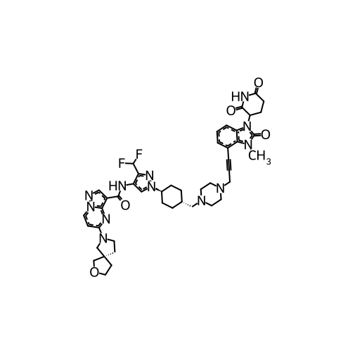 Cn1c(=O)n(C2CCC(=O)NC2=O)c2cccc(C#CCN3CCN(C[C@H]4CC[C@H](n5cc(NC(=O)c6cnn7ccc(N8CC[C@@]9(CCOC9)C8)nc67)c(C(F)F)n5)CC4)CC3)c21